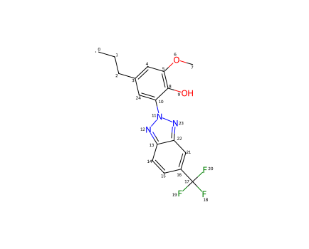 [CH2]CCc1cc(OC)c(O)c(-n2nc3ccc(C(F)(F)F)cc3n2)c1